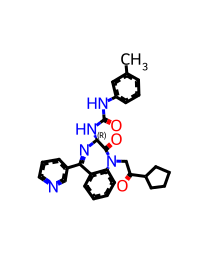 Cc1cccc(NC(=O)N[C@@H]2N=C(c3cccnc3)c3ccccc3N(CC(=O)C3CCCC3)C2=O)c1